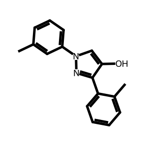 Cc1cccc(-n2cc(O)c(-c3ccccc3C)n2)c1